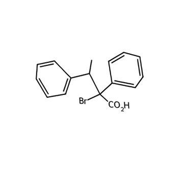 CC(c1ccccc1)C(Br)(C(=O)O)c1ccccc1